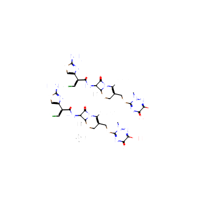 Cn1nc(O)c(=O)nc1SCC1=C(C(=O)[O-])N2C(=O)C(NC(=O)C(=CCl)c3csc(N)n3)[C@@H]2SC1.Cn1nc(O)c(=O)nc1SCC1=C(C(=O)[O-])N2C(=O)C(NC(=O)C(=CCl)c3csc(N)n3)[C@@H]2SC1.[Na+].[Na+]